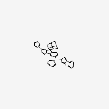 c1ccc(-c2ccc3c(c2)C2(c4ccc(N(c5ccccc5)c5ccc6c(c5)oc5ccccc56)cc4-3)C3CC4CC5CC2C453)cc1